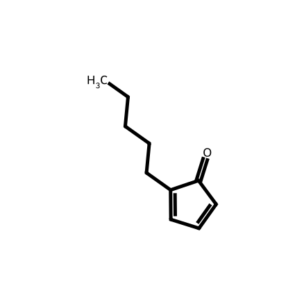 CCCCCC1=CC=CC1=O